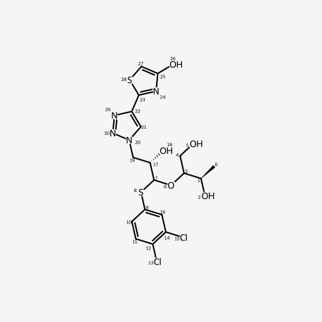 C[C@@H](O)C(CO)OC(Sc1ccc(Cl)c(Cl)c1)[C@@H](O)Cn1cc(-c2nc(O)cs2)nn1